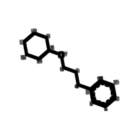 [c]1ccc(CCCOC2CCCCC2)cc1